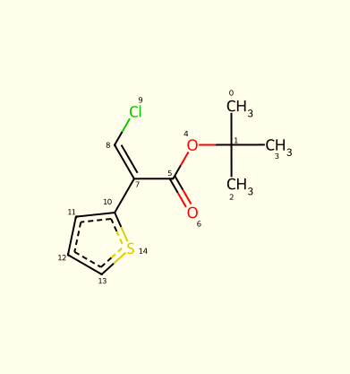 CC(C)(C)OC(=O)C(=CCl)c1cccs1